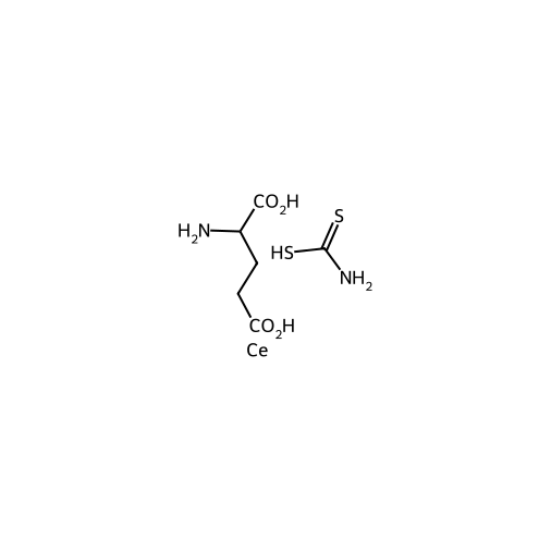 NC(=S)S.NC(CCC(=O)O)C(=O)O.[Ce]